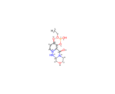 CCOP(O)Oc1c2n(ccc1=O)NC1COCCN1C2=O